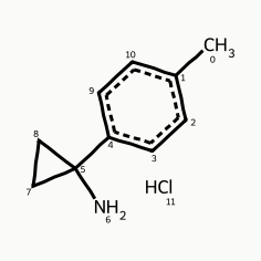 Cc1ccc(C2(N)CC2)cc1.Cl